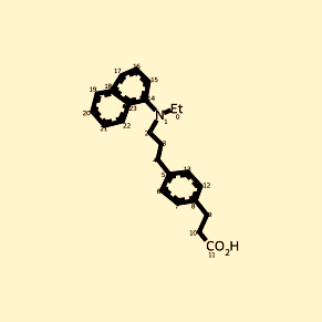 CCN(CCCc1ccc(CCC(=O)O)cc1)c1cccc2ccccc12